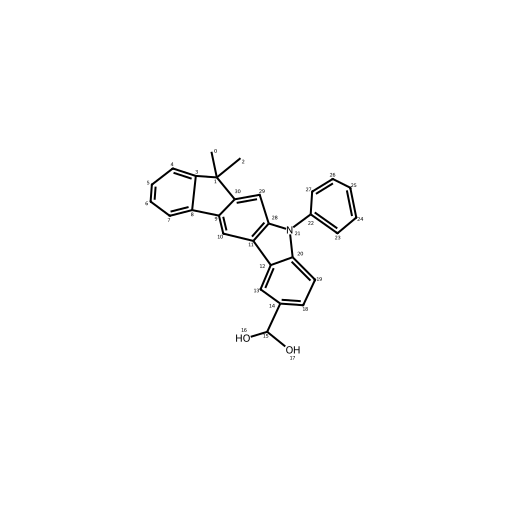 CC1(C)c2ccccc2-c2cc3c4cc(C(O)O)ccc4n(-c4ccccc4)c3cc21